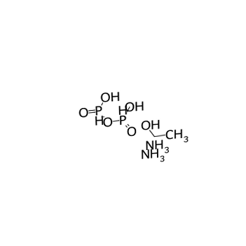 CCO.N.N.O=[PH](O)O[PH](=O)O